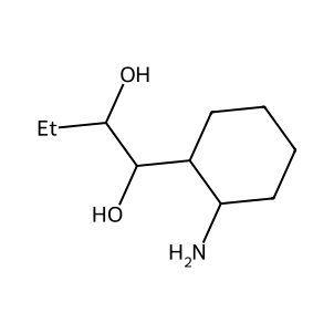 CCC(O)C(O)C1CCCCC1N